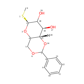 CS[C@@H]1OC2COC(c3ccccc3)O[C@H]2[C@H](O)C1O